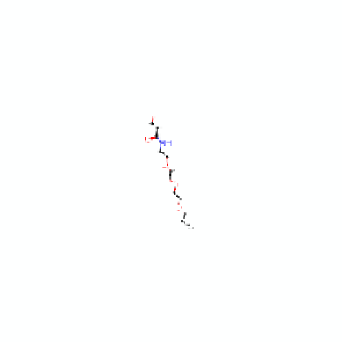 CC(=O)CCOCCOCCOCCNC(=O)CCO